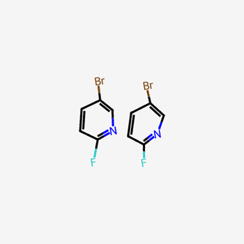 Fc1ccc(Br)cn1.Fc1ccc(Br)cn1